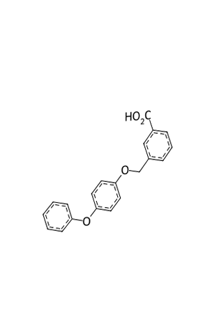 O=C(O)c1cccc(COc2ccc(Oc3ccccc3)cc2)c1